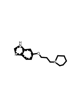 c1nc2ccc(OCCCN3CCCCC3)cc2[nH]1